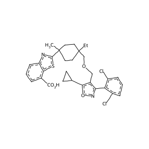 CCC1(COCc2c(-c3c(Cl)cccc3Cl)noc2C2CC2)CCC(C)(c2nc3cccc(C(=O)O)c3s2)CC1